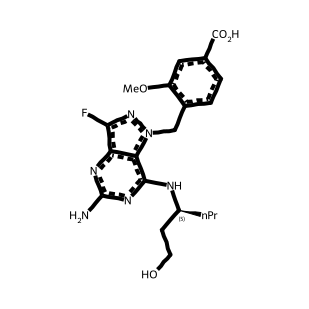 CCC[C@@H](CCO)Nc1nc(N)nc2c(F)nn(Cc3ccc(C(=O)O)cc3OC)c12